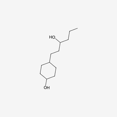 CCCC(O)CCC1CCC(O)CC1